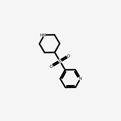 O=S(=O)(c1cccnc1)C1CCNCC1